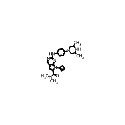 CC1CN(c2ccc(Nc3ncc4cc(C(=O)N(C)C)n(C56CC(C5)C6)c4n3)cc2)CC(C)N1